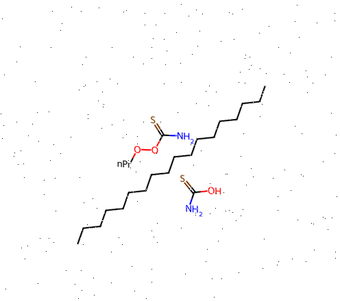 CCCCCCCCCCCCCCCCCC.CCCOOC(N)=S.NC(O)=S